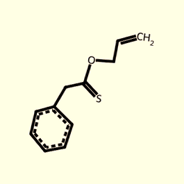 C=CCOC(=S)Cc1ccccc1